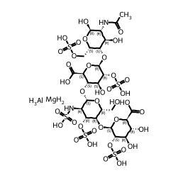 CC(=O)N[C@@H]1[C@@H](O)[C@H](O[C@@H]2O[C@H](C(=O)O)[C@@H](O[C@@H]3O[C@H](CO)[C@@H](O[C@H]4O[C@@H](C(=O)O)[C@H](O)[C@@H](O)[C@@H]4OS(=O)(=O)O)[C@H](OS(=O)(=O)O)[C@H]3NS(=O)(=O)O)[C@H](O)[C@H]2OS(=O)(=O)O)[C@H](COS(=O)(=O)O)O[C@H]1O.[AlH3].[MgH2]